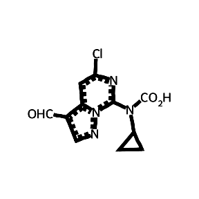 O=Cc1cnn2c(N(C(=O)O)C3CC3)nc(Cl)cc12